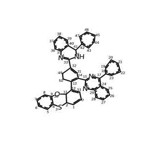 C1=CC2Sc3ccccc3OC2C(C2=C(c3nc(-c4ccccc4)c4ccccc4n3)C=C(C3=Nc4ccccc4C(c4ccccc4)N3)CC2)=C1